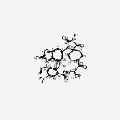 C=CCn1c(=O)oc2cc(N3C(=O)N(C)C(=O)C34CCN(C(=O)C(NC(=O)c3cc(C(F)(F)F)ccc3F)C(C)C)CC4)ccc21